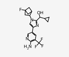 Nc1ncc(-c2cn(C3CC4(F)CC3C4)c(C(O)C3CC3)n2)cc1C(F)(F)F